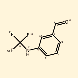 O=Cc1cccc(NC(F)(F)F)c1